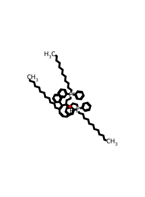 CCCCCCCCCCCCc1cccc[pH]c(CC[P+](CCCCCCCCCCCC)(c2ccccc2)c2ccccc2)c(CC[P+](CCCCCCCCCCCC)(c2ccccc2)c2ccccc2)c1-c1ccccc1